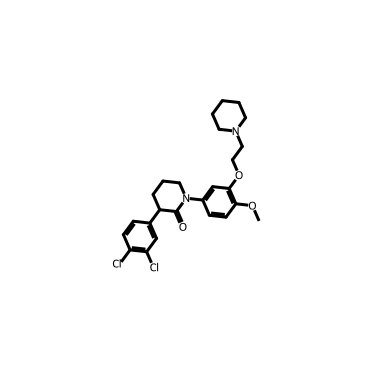 COc1ccc(N2CCCC(c3ccc(Cl)c(Cl)c3)C2=O)cc1OCCN1CCCCC1